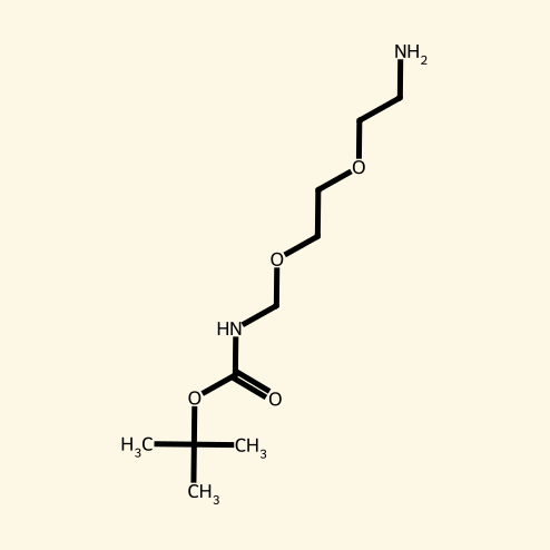 CC(C)(C)OC(=O)NCOCCOCCN